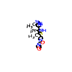 Cc1c(C2CCN(C(=O)CN3CCOCC3)CC2)sc2[nH]c(-c3cc(C)c4ncnn4c3)c(C(C)C)c12